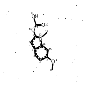 COc1ccc2cc(OC(=O)O)n(C)c2c1